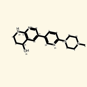 CN1CCN(c2ccc(-c3cnc4c(c3)C(O)CCN4)cn2)CC1